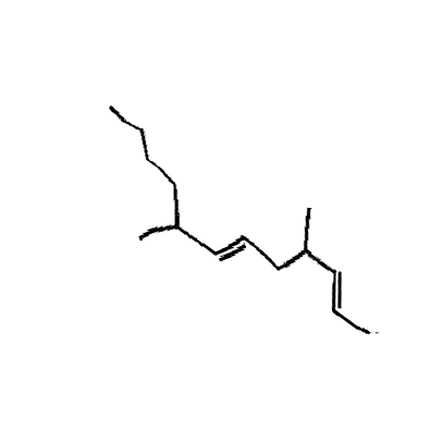 [CH2]C=CC(C)CC=CC(C)CCCC